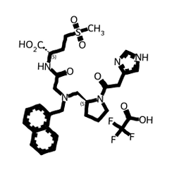 CS(=O)(=O)CC[C@H](NC(=O)CN(Cc1cccc2ccccc12)C[C@@H]1CCCN1C(=O)Cc1c[nH]cn1)C(=O)O.O=C(O)C(F)(F)F